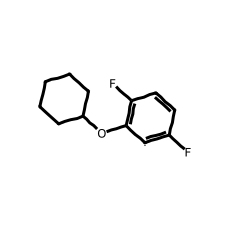 Fc1[c]c(OC2CCCCC2)c(F)cc1